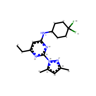 CCc1cc(NC2CCC(F)(F)CC2)nc(-n2nc(C)cc2C)n1